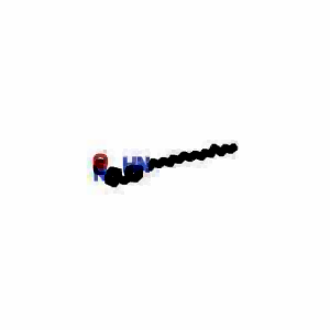 CCCCCCCCCCCCCCCCCCNc1ccc(Cc2ccc(N=C=O)cc2)cc1